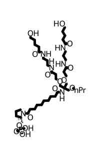 CCCOCC(COCCC(=O)NCCCNC(=O)CCCCO)(COCCC(=O)NCCCNC(=O)CCCCO)NC(=O)CCCCCCCCC(=O)N1CCC[C@H]1COP(=O)(O)O